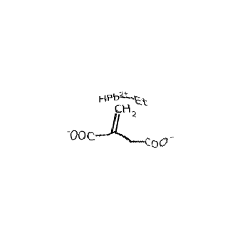 C=C(CC(=O)[O-])C(=O)[O-].C[CH2][PbH+2]